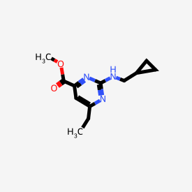 CCc1cc(C(=O)OC)nc(NCC2CC2)n1